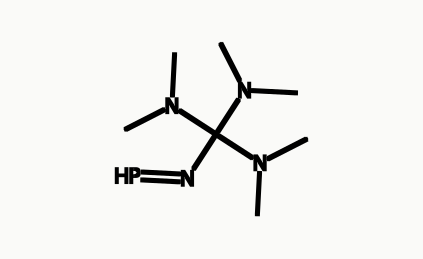 CN(C)C(N=P)(N(C)C)N(C)C